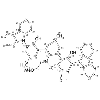 COCCN(C)c1c(-c2cc(C)cc(-n3c4ccccc4c4ccccc43)c2O)cc(C)cc1-c1cc(C)cc(-n2c3ccccc3c3ccccc32)c1O